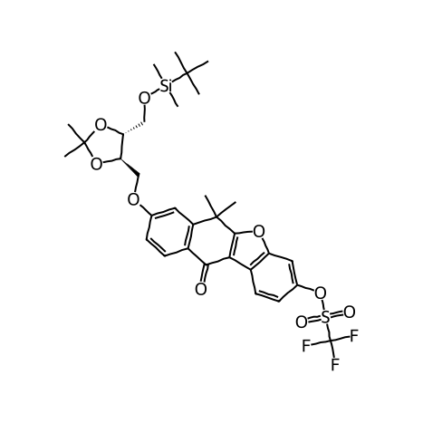 CC1(C)O[C@H](COc2ccc3c(c2)C(C)(C)c2oc4cc(OS(=O)(=O)C(F)(F)F)ccc4c2C3=O)[C@@H](CO[Si](C)(C)C(C)(C)C)O1